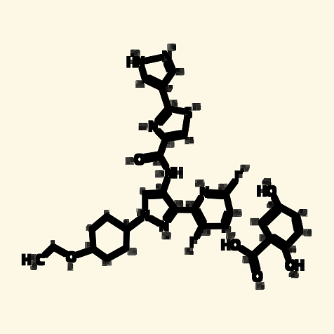 CCOC1CCC(n2cc(NC(=O)c3csc(-c4cn[nH]c4)n3)c(-c3nc(F)ccc3F)n2)CC1.O=C(O)c1cc(O)ccc1O